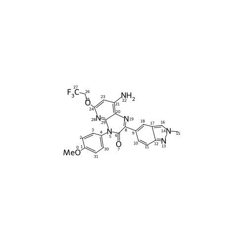 COc1ccc(-n2c(=O)c(-c3ccc4nn(C)cc4c3)nc3c(N)cc(OCC(F)(F)F)nc32)cc1